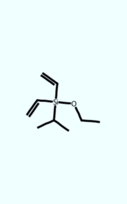 C=C[Si](C=C)(OCC)C(C)C